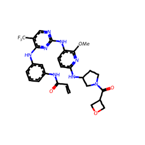 C=CC(=O)Nc1cccc(Nc2nc(Nc3ccc(NC4CCN(C(=O)C5COC5)C4)nc3OC)ncc2C(F)(F)F)c1